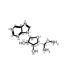 NOC(N)[C@H]1O[C@@H](n2cnc3cncnc32)[C@H](O)[C@@H]1O